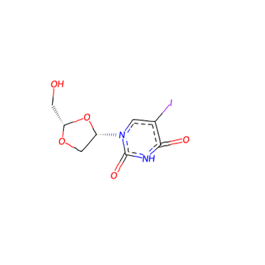 O=c1[nH]c(=O)n([C@@H]2CO[C@H](CO)O2)cc1I